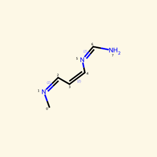 C\N=C/C=C\N=C/N